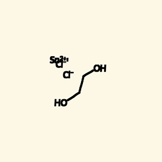 OCCO.[Cl-].[Cl-].[Sn+2]